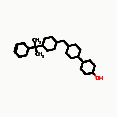 CC(C)(C1CC=CCC1)C1CCC(CC2CCC(C3CCC(O)CC3)CC2)CC1